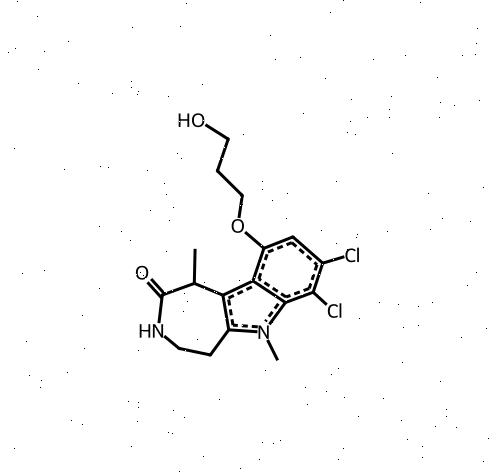 CC1C(=O)NCCc2c1c1c(OCCCO)cc(Cl)c(Cl)c1n2C